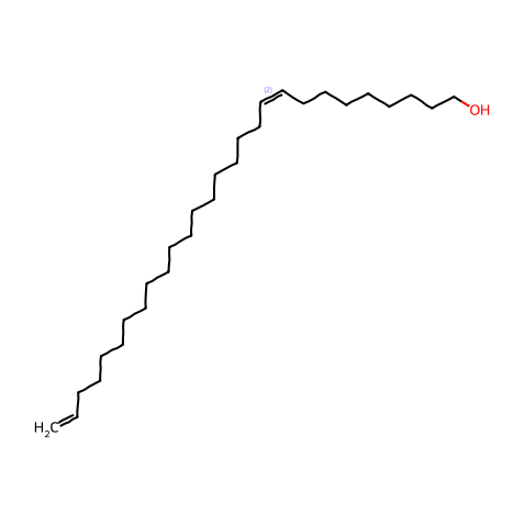 C=CCCCCCCCCCCCCCCCC/C=C\CCCCCCCCO